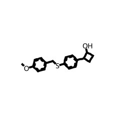 COc1ccc(CSc2ccc(C3CCC3O)cc2)cc1